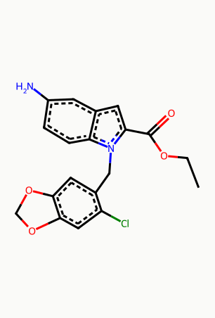 CCOC(=O)c1cc2cc(N)ccc2n1Cc1cc2c(cc1Cl)OCO2